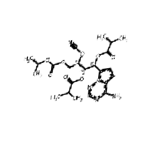 CC(C)OC(=O)OC[C@@H](OC#N)[C@@H](OC(=O)C(C)C)[C@@H](OC(=O)C(C)C)c1ccc2c(N)ncnn12